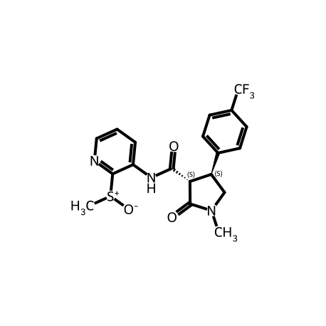 CN1C[C@H](c2ccc(C(F)(F)F)cc2)[C@@H](C(=O)Nc2cccnc2[S+](C)[O-])C1=O